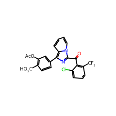 CC(=O)Oc1cc(-c2nc(C(=O)c3c(Cl)cccc3C(F)(F)F)n3ccccc23)ccc1C(=O)O